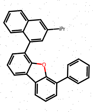 CC(C)c1cc(-c2cccc3c2oc2c(-c4ccccc4)cccc23)c2ccccc2c1